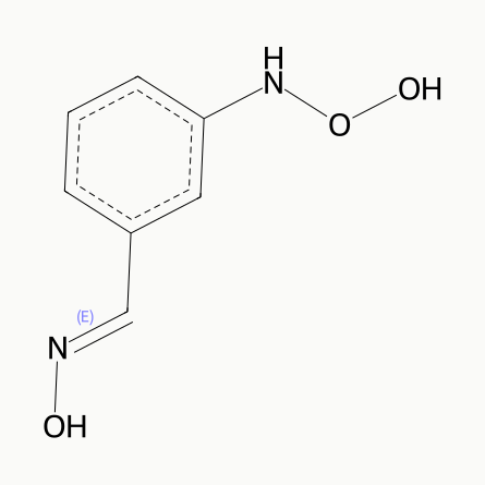 O/N=C/c1cccc(NOO)c1